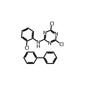 Clc1nc(Cl)nc(Nc2ccccc2Cl)n1.c1ccc(-c2ccccc2)cc1